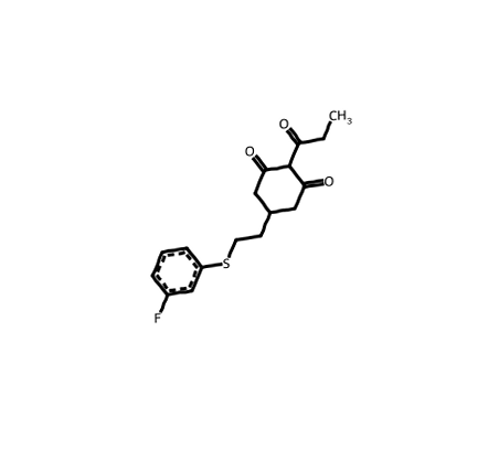 CCC(=O)C1C(=O)CC(CCSc2cccc(F)c2)CC1=O